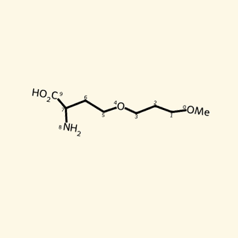 COCCCOCCC(N)C(=O)O